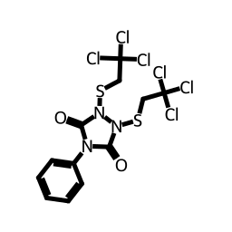 O=c1n(-c2ccccc2)c(=O)n(SCC(Cl)(Cl)Cl)n1SCC(Cl)(Cl)Cl